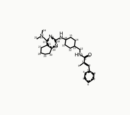 C/C(=C\c1ccccc1)C(=O)NCC1CCC(Nc2nc3c(c(N(C)C)n2)CCCC3)CC1